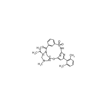 Cc1cccc(C)c1-c1cc2nc(n1)NS(=O)(=O)c1cccc(c1)C(=O)N1C[C@@H](CN(C)C[C@H]1C(C)C)O2